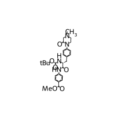 COC(=O)c1ccc(NC(=O)[C@H](Cc2ccc(N3CCN(C)CC3=O)cc2)NC(=O)OC(C)(C)C)cc1